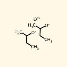 CCC(C)[O-].CCC(C)[O-].[O+2]